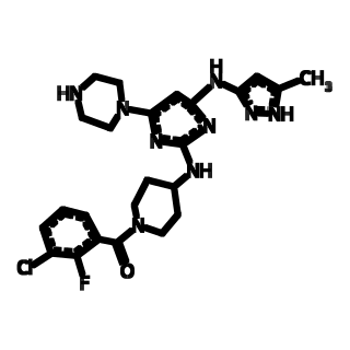 Cc1cc(Nc2cc(N3CCNCC3)nc(NC3CCN(C(=O)c4cccc(Cl)c4F)CC3)n2)n[nH]1